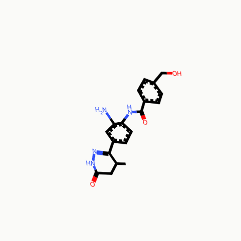 CC1CC(=O)NN=C1c1ccc(NC(=O)c2ccc(CO)cc2)c(N)c1